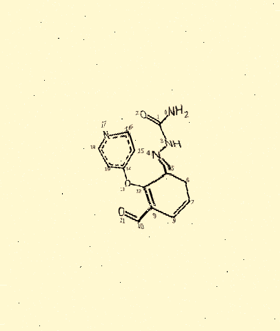 NC(=O)NN=C1CC=CC(C=O)=C1Oc1ccncc1